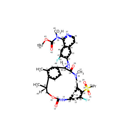 Cc1cc2ccc1[C@@H](C)COC(=O)Nc1cc(F)c(S(=O)(=O)C(C)C)c(c1)CN(C)C(=O)[C@@H]2Nc1cc2ccnc(N(C(=O)O)C(=O)OC(C)(C)C)c2cc1F